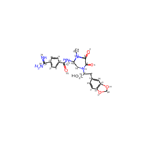 CCN1C(=O)C(=O)N(C(Cc2ccc3c(c2)OCO3)C(=O)O)CC1NC(=O)c1ccc(C(=N)N)cc1